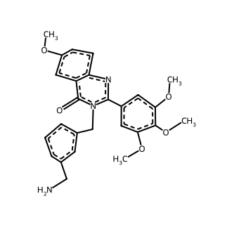 COc1ccc2nc(-c3cc(OC)c(OC)c(OC)c3)n(Cc3cccc(CN)c3)c(=O)c2c1